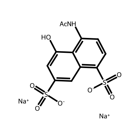 CC(=O)Nc1ccc(S(=O)(=O)[O-])c2cc(S(=O)(=O)[O-])cc(O)c12.[Na+].[Na+]